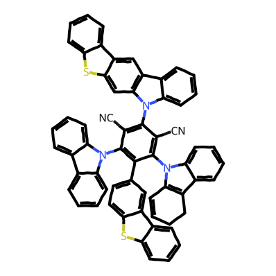 N#Cc1c(-n2c3c(c4ccccc42)CCC=C3)c(-c2ccc3sc4ccccc4c3c2)c(-n2c3ccccc3c3ccccc32)c(C#N)c1-n1c2ccccc2c2cc3c(cc21)sc1ccccc13